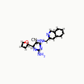 N#Cc1c(NCc2cc3ccccc3cn2)nc(N)nc1-c1ccco1